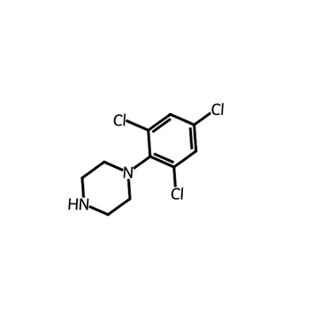 Clc1cc(Cl)c(N2CCNCC2)c(Cl)c1